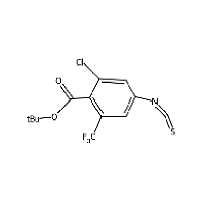 CC(C)(C)OC(=O)c1c(Cl)cc(N=C=S)cc1C(F)(F)F